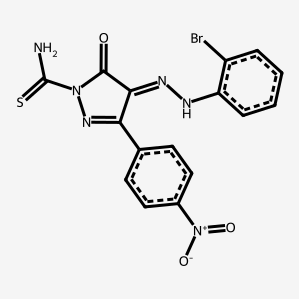 NC(=S)N1N=C(c2ccc([N+](=O)[O-])cc2)/C(=N\Nc2ccccc2Br)C1=O